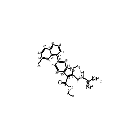 CCOC(=O)c1c(CNC(=N)N)n(C)c2cc(-c3cccc4ccc(C)cc34)ccc12